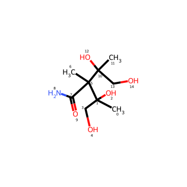 CC(O)(CO)C(C)(C(N)=O)C(C)(O)CO